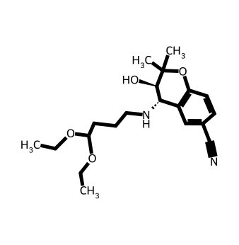 CCOC(CCCN[C@H]1c2cc(C#N)ccc2OC(C)(C)[C@@H]1O)OCC